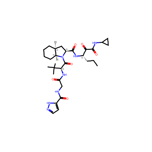 CCC[C@H](NC(=O)[C@@H]1C[C@@H]2CCCC[C@@H]2N1C(=O)[C@@H](NC(=O)CNC(=O)c1ccn[nH]1)C(C)(C)C)C(=O)C(=O)NC1CC1